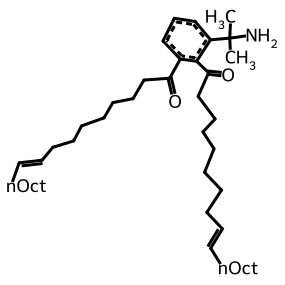 CCCCCCCCC=CCCCCCCCC(=O)c1cccc(C(C)(C)N)c1C(=O)CCCCCCCC=CCCCCCCCC